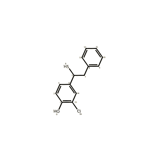 Oc1ccc(C(S)Cc2ccccc2)cc1Cl